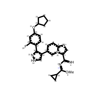 CO/C(=N\C(=N)c1cnc2ccc(-c3c[nH]nc3-c3ccc(OC4CCCC4)cc3F)cn12)C1CC1